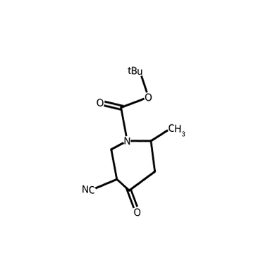 CC1CC(=O)C(C#N)CN1C(=O)OC(C)(C)C